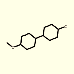 COC1CCC(C2CCC(Cl)CC2)CC1